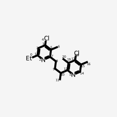 CCc1cc(Cl)c(C)c(CCC(C)c2ncc(C)c(Cl)c2C)n1